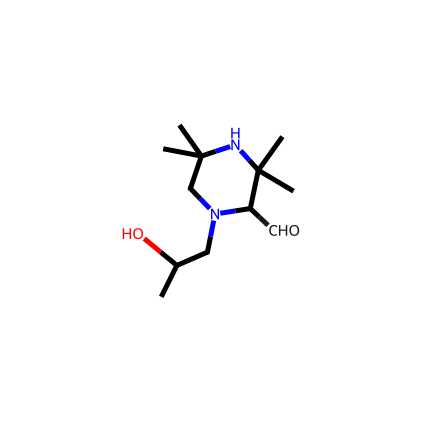 CC(O)CN1CC(C)(C)NC(C)(C)C1C=O